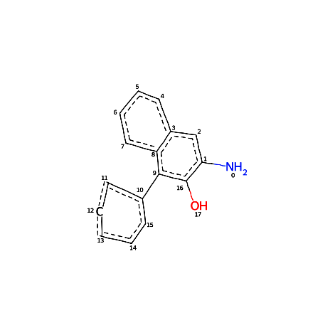 Nc1cc2ccccc2c(-c2ccccc2)c1O